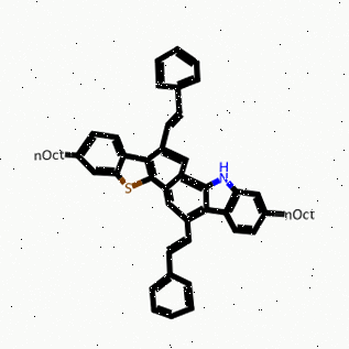 CCCCCCCCc1ccc2c(c1)[nH]c1c3cc(/C=C/c4ccccc4)c4c5ccc(CCCCCCCC)cc5sc4c3cc(/C=C/c3ccccc3)c21